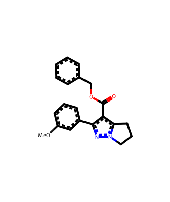 COc1cccc(-c2nn3c(c2C(=O)OCc2ccccc2)CCC3)c1